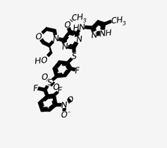 COc1c(Nc2cc(C)[nH]n2)nc(Sc2ccc(S(=O)(=O)C(F)c3cccc([N+](=O)[O-])c3F)cc2F)nc1N1CCOC[C@@H]1CO